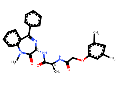 Cc1cc(C)cc(OCC(=O)N[C@@H](C)C(=O)N[C@H]2N=C(c3ccccc3)c3ccccc3N(C)C2=O)c1